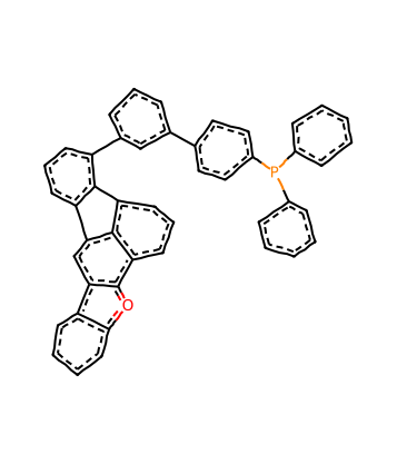 c1ccc(P(c2ccccc2)c2ccc(-c3cccc(-c4cccc5c4-c4cccc6c4c-5cc4c5ccccc5oc64)c3)cc2)cc1